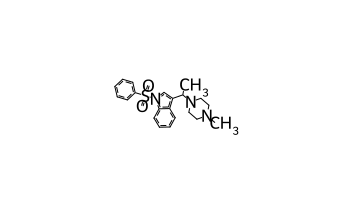 CC(c1cn(S(=O)(=O)c2ccccc2)c2ccccc12)N1CCN(C)CC1